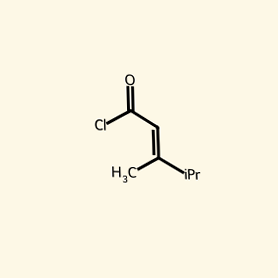 C/C(=C\C(=O)Cl)C(C)C